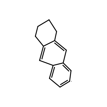 [c]1ccc2cc3c(cc2c1)CCCC3